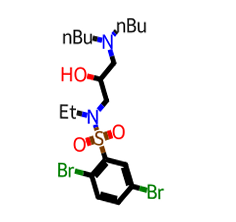 CCCCN(CCCC)CC(O)CN(CC)S(=O)(=O)c1cc(Br)ccc1Br